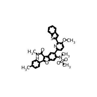 CNC(=O)c1c(-c2ccc(C)cc2)oc2cc(N(C)S(C)(=O)=O)c(-c3ccc(OC)c(-c4cc5ccccc5s4)n3)cc12